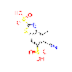 Cc1c(C#N)c(S(=O)(=O)O)cc2sc(S(=O)(=O)O)nc12